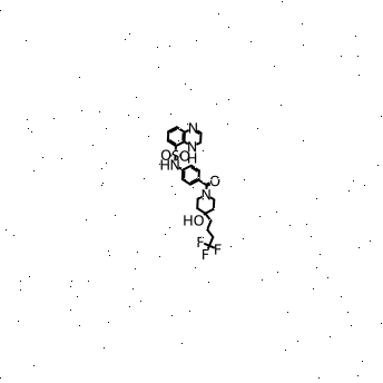 O=C(c1ccc(NS(=O)(=O)c2cccc3c2NCC=N3)cc1)N1CCC(O)(CCCC(F)(F)F)CC1